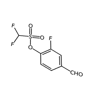 O=Cc1ccc(OS(=O)(=O)C(F)F)c(F)c1